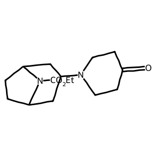 CCOC(=O)N1C2CCC1CC(N1CCC(=O)CC1)C2